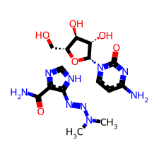 CN(C)/N=N/c1[nH]cnc1C(N)=O.Nc1ccn([C@@H]2O[C@H](CO)[C@@H](O)[C@@H]2O)c(=O)n1